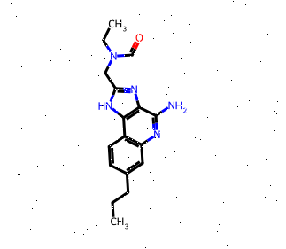 CCCc1ccc2c(c1)nc(N)c1nc(CN(C=O)CC)[nH]c12